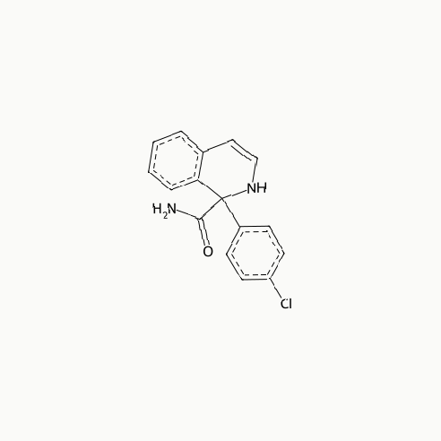 NC(=O)C1(c2ccc(Cl)cc2)NC=Cc2ccccc21